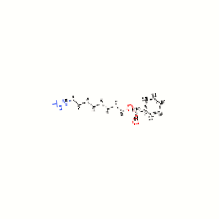 NCCCCCCCCOC(=O)c1ccccc1